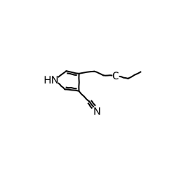 CCCCCc1c[nH]cc1C#N